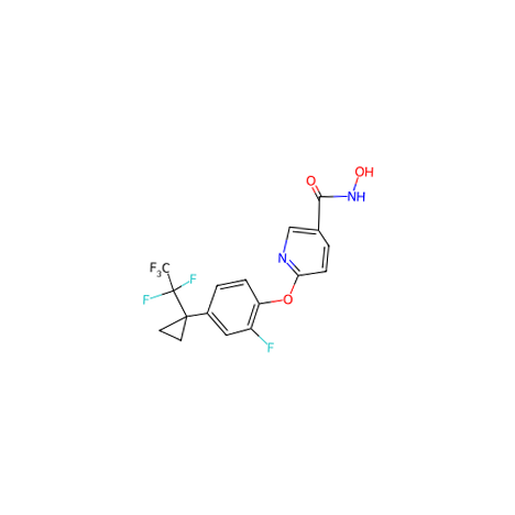 O=C(NO)c1ccc(Oc2ccc(C3(C(F)(F)C(F)(F)F)CC3)cc2F)nc1